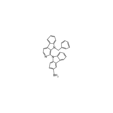 Bc1ccc2c(c1)c1ccccc1n2-c1nccc2c3ccccc3n(Cc3ccccc3)c12